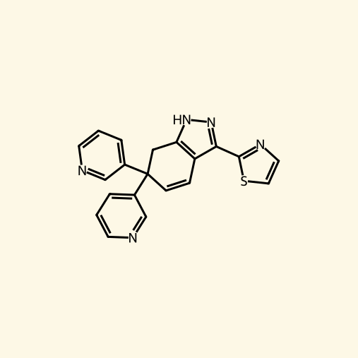 C1=CC(c2cccnc2)(c2cccnc2)Cc2[nH]nc(-c3nccs3)c21